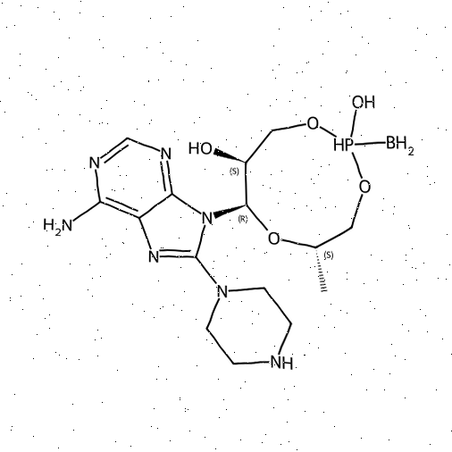 B[PH]1(O)OC[C@H](C)O[C@@H](n2c(N3CCNCC3)nc3c(N)ncnc32)[C@@H](O)CO1